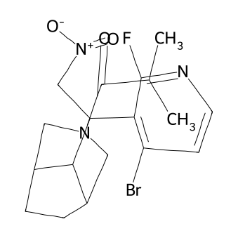 CC(C)C(=O)N1CC2CCC(C1)C2C(C[N+](=O)[O-])c1c(Br)ccnc1F